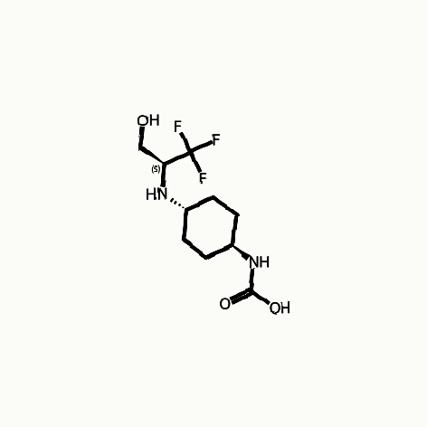 O=C(O)N[C@H]1CC[C@H](N[C@@H](CO)C(F)(F)F)CC1